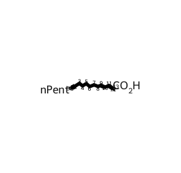 CCCCCC#CCCCCCCC=CC=CC(=O)O